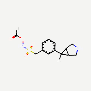 CCC1(c2cccc(CS(=O)(=O)NOC(=O)C(F)(F)F)c2)C2CNCC21